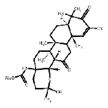 COC(=O)N[C@]12CCC(C)(C)C[C@H]1[C@H]1C(=O)CC3[C@@]4(C)C=C(C#N)C(=O)C(C)(C)[C@@H]4CC[C@@]3(C)[C@]1(C)CC2